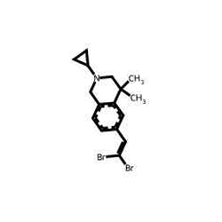 CC1(C)CN(C2CC2)Cc2ccc(C=C(Br)Br)cc21